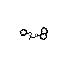 CC(COc1cccc2ccccc12)Oc1ccccc1